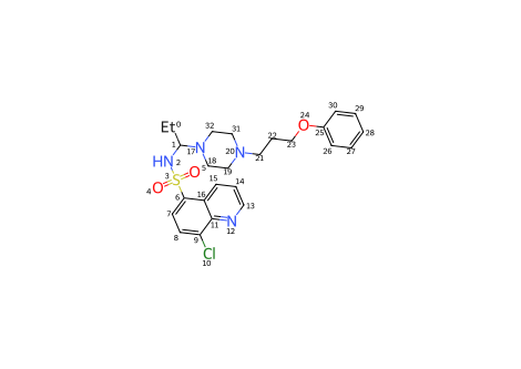 CCC(NS(=O)(=O)c1ccc(Cl)c2ncccc12)N1CCN(CCCOc2ccccc2)CC1